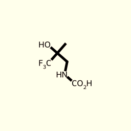 CC(O)(CNC(=O)O)C(F)(F)F